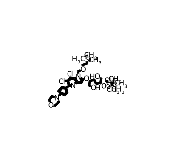 CC(C)(C)[Si](C)(C)OC1CO[C@H]2[C@@H]1OC[C@H]2Oc1cc2nc(-c3ccc(N4CCOCC4)cc3)c(Cl)c(Cl)c2n1COCC[Si](C)(C)C